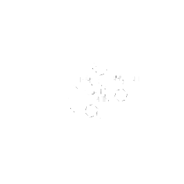 BC(=O)c1cccc(NCc2ccc(CN3CC(C)OC(C)C3)cc2F)c1C(B)NC(C(=O)NC)C(B)(B)C(B)(B)C=O